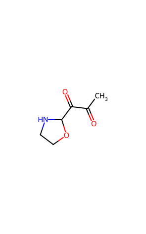 CC(=O)C(=O)C1NCCO1